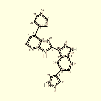 c1cc(-c2ccnc3[nH]c(-c4n[nH]c5ncc(-c6cn[nH]c6)cc45)nc23)ccn1